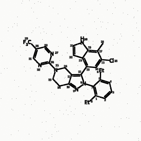 CCc1cccc(CC)c1-n1nc2c(c1-c1cc(Cl)c(C)c3[nH]ccc13)CN(c1ncc(C(F)(F)F)cn1)CC2